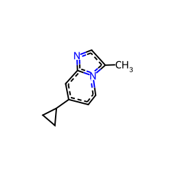 Cc1cnc2cc(C3CC3)ccn12